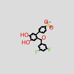 CS(=O)(=O)c1ccc(-c2cc(O)c(O)cc2C(=O)c2cc(F)cc(F)c2)cc1